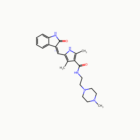 Cc1[nH]c(/C=C2\C(=O)Nc3ccccc32)c(C)c1C(=O)NCCN1CCN(C)CC1